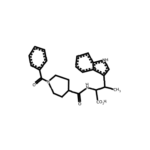 CC(c1c[nH]c2ccccc12)C(NC(=O)C1CCN(C(=O)c2ccccc2)CC1)C(=O)O